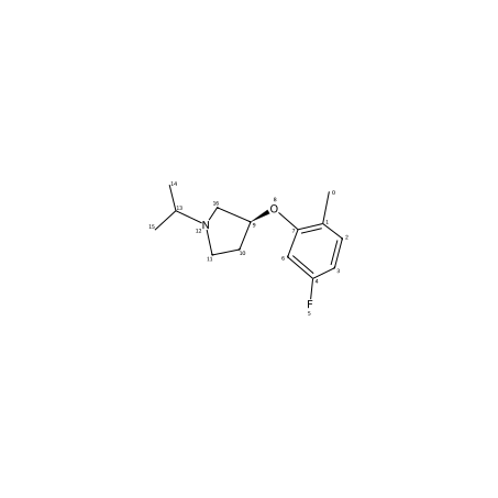 Cc1ccc(F)cc1O[C@H]1CCN(C(C)C)C1